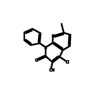 Cc1ccc2c(Cl)c(C#N)c(=O)n(-c3ccccc3)c2n1